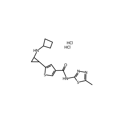 Cc1nnc(NC(=O)c2csc(C3CC3NC3CCC3)c2)s1.Cl.Cl